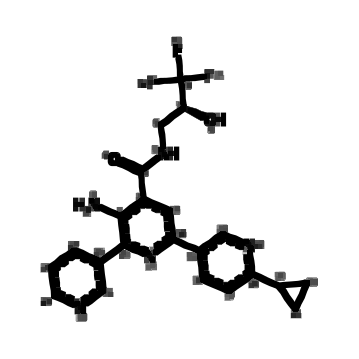 Nc1c(C(=O)NC[C@H](O)C(F)(F)F)cc(-c2ccc(C3CC3)nc2)nc1-c1cccnc1